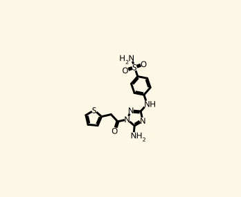 Nc1nc(Nc2ccc(S(N)(=O)=O)cc2)nn1C(=O)Cc1cccs1